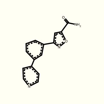 NC(=O)c1cc(-c2cccc(-c3ccncc3)c2)no1